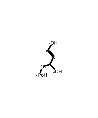 OC=CC(O)[O][PoH]